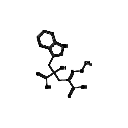 CON=C(CC(O)(Cc1c[nH]c2ccccc12)C(=O)O)C(=O)O